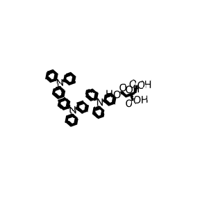 O=C(O)CC(O)(CC(=O)O)C(=O)O.c1ccc(N(c2ccccc2)c2ccccc2)cc1.c1ccc(N(c2ccccc2)c2ccccc2)cc1.c1ccc(N(c2ccccc2)c2ccccc2)cc1